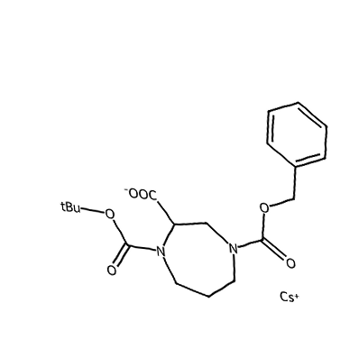 CC(C)(C)OC(=O)N1CCCN(C(=O)OCc2ccccc2)CC1C(=O)[O-].[Cs+]